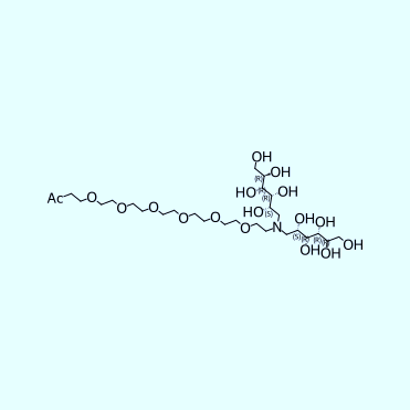 CC(=O)CCOCCOCCOCCOCCOCCOCCN(C[C@H](O)[C@@H](O)[C@H](O)[C@H](O)CO)C[C@H](O)[C@@H](O)[C@H](O)[C@H](O)CO